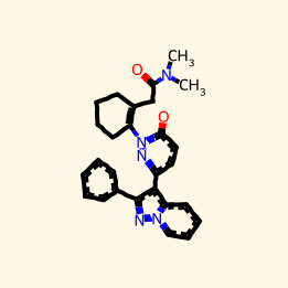 CN(C)C(=O)CC1=C(n2nc(-c3c(-c4ccccc4)nn4ccccc34)ccc2=O)CCCC1